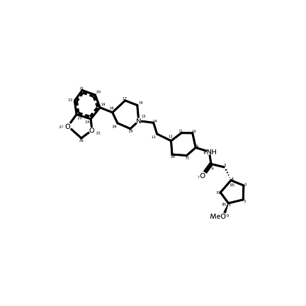 CO[C@@H]1CC[C@@H](CC(=O)NC2CCC(CCN3CCC(c4cccc5c4OCO5)CC3)CC2)C1